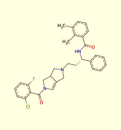 Cc1cccc(C(=O)N[C@@H](CCN2CC3=CN(C(=O)c4c(F)cccc4Cl)CC3C2)c2ccccc2)c1C